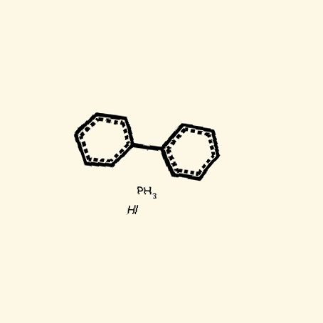 I.P.c1ccc(-c2ccccc2)cc1